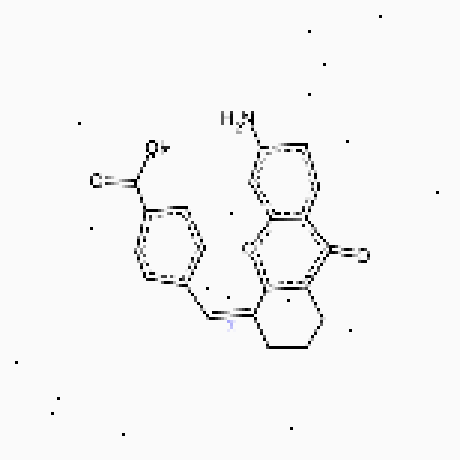 Nc1ccc2c(=O)c3c(oc2c1)/C(=C\c1ccc(C(=O)O)cc1)CCC3